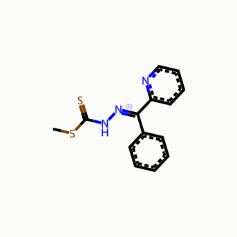 CSC(=S)N/N=C(\c1ccccc1)c1ccccn1